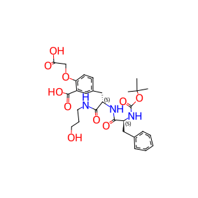 CC(C)(C)OC(=O)N[C@@H](Cc1ccccc1)C(=O)N[C@@H](Cc1ccc(OCC(=O)O)c(C(=O)O)c1)C(=O)NCCCO